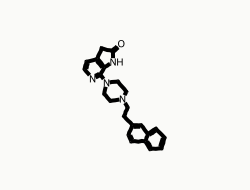 O=C1Cc2ccnc(N3CCN(CCc4ccc5ccccc5c4)CC3)c2N1